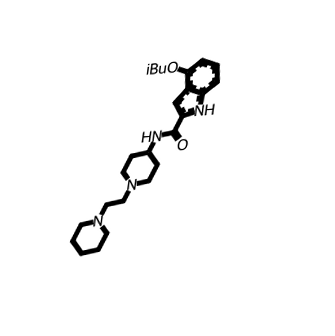 CC(C)COc1cccc2[nH]c(C(=O)NC3CCN(CCN4CCCCC4)CC3)cc12